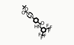 CC(C)(C)OC(=O)N1CCN(c2ccc(C(=O)Nc3cc(C(F)(F)F)cc(C(F)(F)F)c3)cc2)CC1